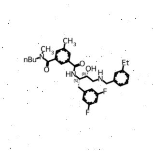 CCCCN(C)C(=O)c1cc(C)cc(C(=O)N[C@@H](Cc2cc(F)cc(F)c2)[C@H](O)CNCc2cccc(CC)c2)c1